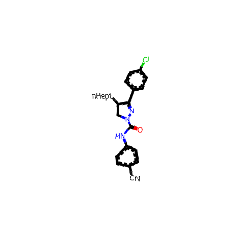 CCCCCCCC1CN(C(=O)Nc2ccc(C#N)cc2)N=C1c1ccc(Cl)cc1